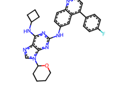 Fc1ccc(-c2ccnc3ccc(Nc4nc(NC5CCC5)c5ncn(C6CCCCO6)c5n4)cc23)cc1